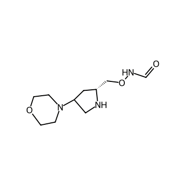 O=CNOC[C@H]1CC(N2CCOCC2)CN1